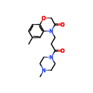 Cc1ccc2c(c1)N(CCC(=O)N1CCN(C)CC1)C(=O)CO2